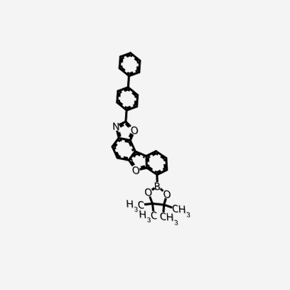 CC1(C)OB(c2cccc3c2oc2ccc4nc(-c5ccc(-c6ccccc6)cc5)oc4c23)OC1(C)C